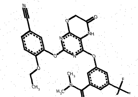 CCOc1ccc(C#N)cc1Oc1nc2c(c(Oc3cc(C(=O)N(C)C)cc(C(F)(F)F)c3)n1)NC(=O)CO2